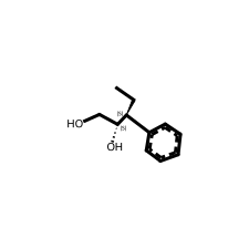 CC[C@@H](c1ccccc1)[C@H](O)CO